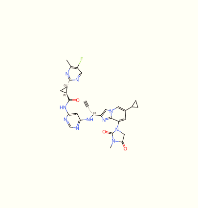 C#C[C@@H](Nc1cc(NC(=O)[C@H]2C[C@@H]2c2ncc(F)c(C)n2)ncn1)c1cn2cc(C3CC3)cc(N3CC(=O)N(C)C3=O)c2n1